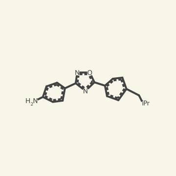 CC(C)Cc1ccc(-c2nc(-c3ccc(N)cc3)no2)cc1